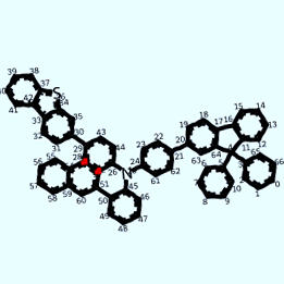 c1ccc(C2(c3ccccc3)c3ccccc3-c3ccc(-c4ccc(N(c5ccc(-c6ccc7c(c6)sc6ccccc67)cc5)c5ccccc5-c5ccc6ccccc6c5)cc4)cc32)cc1